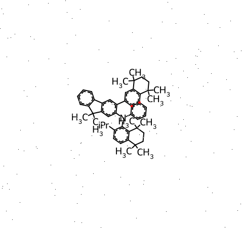 CC(C)c1ccc2c(c1N(c1ccccc1)c1cc3c(cc1-c1ccc4c(c1)C(C)(C)CCC4(C)C)-c1ccccc1C3(C)C)C(C)(C)CCC2(C)C